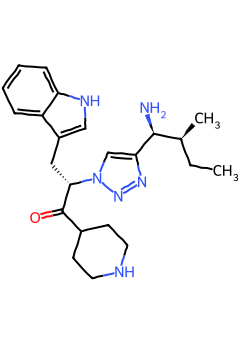 CC[C@H](C)[C@H](N)c1cn([C@@H](Cc2c[nH]c3ccccc23)C(=O)C2CCNCC2)nn1